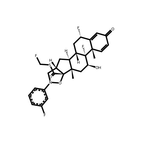 C[C@]12C=CC(=O)C=C1[C@@H](F)C[C@H]1[C@@H]3C[C@H]4CN(c5cccc(F)c5)O[C@@]4(C(=O)SCF)[C@@]3(C)C[C@H](O)[C@@]12F